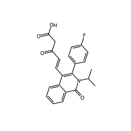 CC(C)n1c(-c2ccc(F)cc2)c(/C=C/C(=O)CC(=O)O)c2ccccc2c1=O